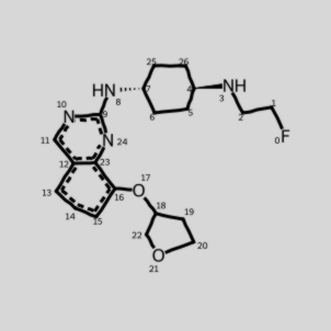 FCCN[C@H]1CC[C@H](Nc2ncc3cccc(OC4CCOC4)c3n2)CC1